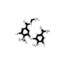 CCOC(=O)c1cc(F)c([N+](=O)[O-])c(F)c1.Nc1c(F)cc(C(=O)O)cc1F